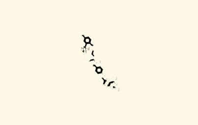 CC(C)(C)c1ccc(C(=O)NCCC[C@H](NC(=O)c2ccc(NCc3cnc4nc(N)nc(N)c4n3)cc2O)C(=O)O)c(-c2nn[nH]n2)c1